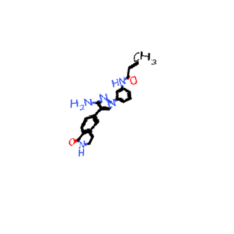 C/C=C/C(=O)Nc1cccc(-n2cc(-c3ccc4c(c3)CCNC4=O)c(N)n2)c1